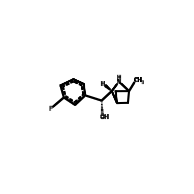 CC12CC(C1)[C@H]([C@H](O)c1cccc(F)c1)N2